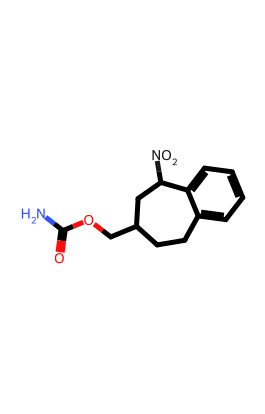 NC(=O)OCC1CCc2ccccc2C([N+](=O)[O-])C1